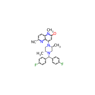 C[C@@H]1CN(c2cc(=O)n(C)c3ccc(C#N)nc23)[C@@H](C)CN1C(c1ccc(F)cc1)c1ccc(F)cc1